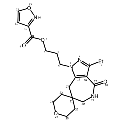 CCc1nn(CCCOC(=O)c2ccon2)c2c1C(=O)NCC1(CCOCC1)C2